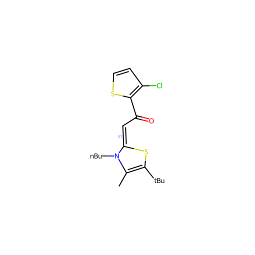 CCCCN1C(C)=C(C(C)(C)C)S/C1=C\C(=O)c1sccc1Cl